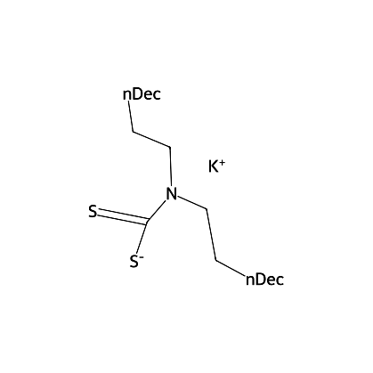 CCCCCCCCCCCCN(CCCCCCCCCCCC)C(=S)[S-].[K+]